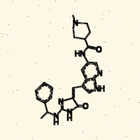 CC(NC1=N/C(=C/c2c[nH]c3ncc(NC(=O)C4CCN(C)CC4)cc23)C(=O)N1)c1ccccc1